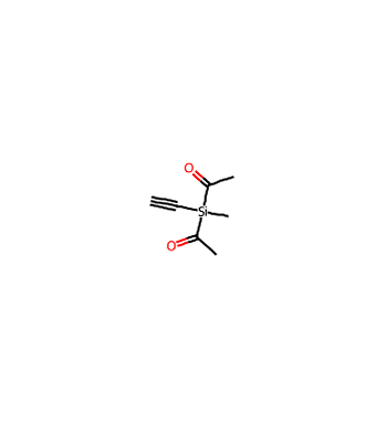 C#C[Si](C)(C(C)=O)C(C)=O